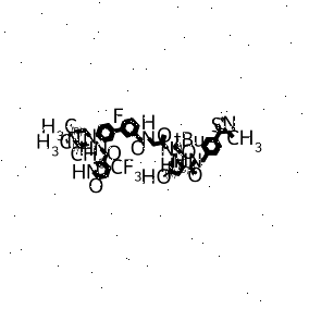 Cc1ncsc1-c1ccc(CNC(=O)[C@@H]2C[C@@H](O)CN2C(=O)[C@@H](NC(=O)CNC(=O)c2ccc(F)c(-c3ccc(N4C[C@@H](C)N(C)[C@@H](C)C4)c(NC(=O)c4c[nH]c(=O)cc4C(F)(F)F)c3)c2)C(C)(C)C)cc1